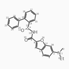 CCN(C)c1ccc2cc(C(=O)N[S+]([O-])c3ccccc3-c3ccccc3)oc2c1